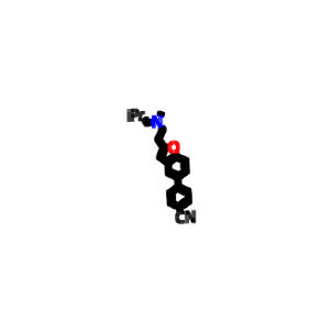 CC(C)CN(C)CCc1cc2cc(-c3ccc(C#N)cc3)ccc2o1